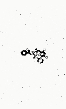 O=S(=O)(Cc1nc(N2CCOCC2)c(Cl)cc1Cl)N[C@@H](Cc1coc2ccccc12)B(O)O